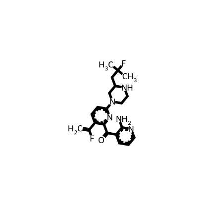 C=C(F)c1ccc(N2CCNC(CC(C)(C)F)C2)nc1C(=O)c1cccnc1N